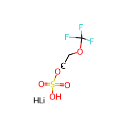 O=S(=O)(O)OCCOC(F)(F)F.[LiH]